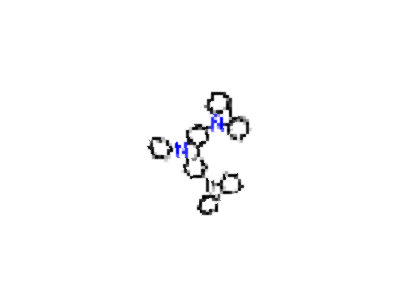 c1ccc(-n2c3ccc(B4c5ccccc5-c5ccccc54)cc3c3cc(-n4c5ccccc5c5ccccc54)ccc32)cc1